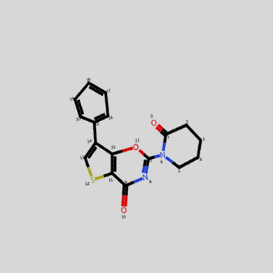 O=C1CCCCN1c1nc(=O)c2scc(-c3ccccc3)c2o1